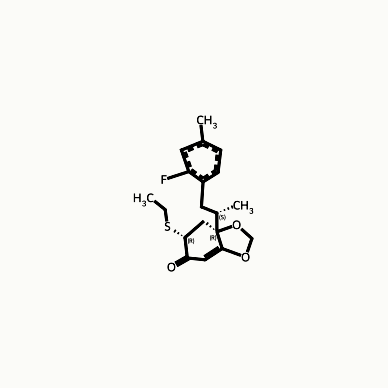 CCS[C@@H]1C[C@]2([C@@H](C)Cc3ccc(C)cc3F)OCOC2=CC1=O